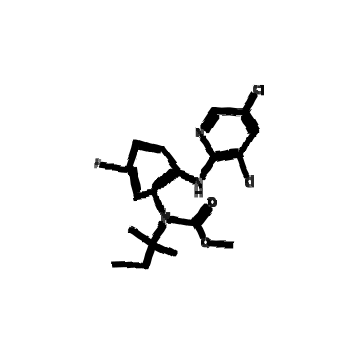 CCC(C)(C)N(C(=O)OC)c1cc(F)ccc1Nc1ncc(Cl)cc1Cl